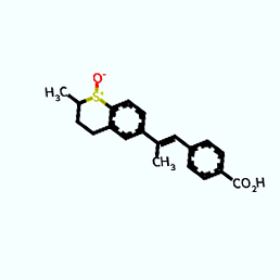 C/C(=C\c1ccc(C(=O)O)cc1)c1ccc2c(c1)CCC(C)[S+]2[O-]